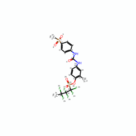 O=C(Nc1ccc(S(=O)(=O)C(F)(F)F)cc1)Nc1ccc(OS(=O)(=O)C(F)(F)C(F)(F)C(F)(F)C(F)(F)F)c(C(F)(F)F)c1